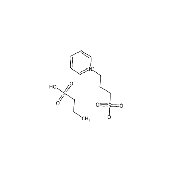 CCCS(=O)(=O)O.O=S(=O)([O-])CCC[n+]1ccccc1